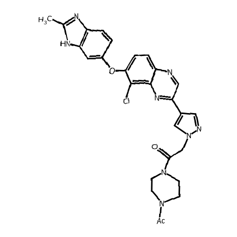 CC(=O)N1CCN(C(=O)Cn2cc(-c3cnc4ccc(Oc5ccc6nc(C)[nH]c6c5)c(Cl)c4n3)cn2)CC1